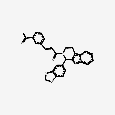 CC(=O)c1cccc(/C=C/C(=O)N2CCc3c([nH]c4ccccc34)C2c2ccc3c(c2)OCO3)c1